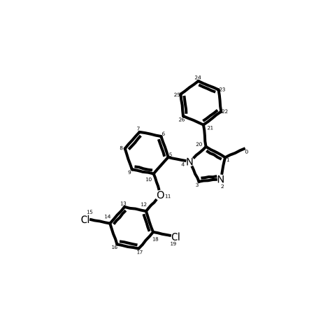 Cc1ncn(-c2ccccc2Oc2cc(Cl)ccc2Cl)c1-c1ccccc1